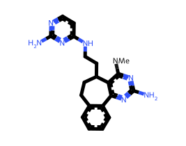 CNc1nc(N)nc2c1C(CCNc1ccnc(N)n1)CCc1ccccc1-2